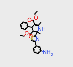 CCOC(=O)C1=C(C)NC(C)(c2nc(-c3cccc(N)c3)cs2)C(C(=O)OCC)C1c1ccccc1